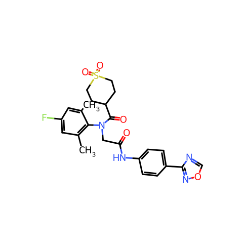 Cc1cc(F)cc(C)c1N(CC(=O)Nc1ccc(-c2ncon2)cc1)C(=O)C1CCS(=O)(=O)CC1